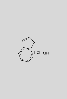 C1=Cc2ccccc2C1.Cl.Cl